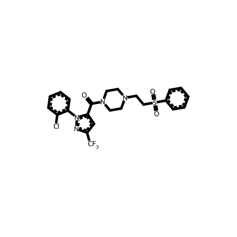 O=C(c1cc(C(F)(F)F)nn1-c1ccccc1Cl)N1CCN(CCS(=O)(=O)c2ccccc2)CC1